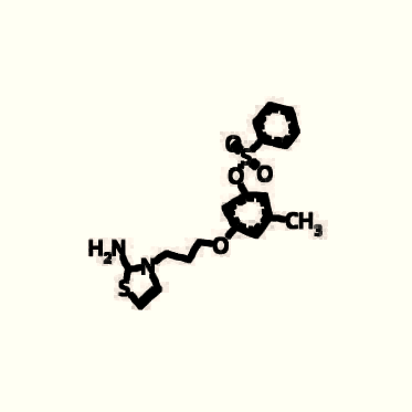 Cc1cc(OCCCN2C=CSC2N)cc(OS(=O)(=O)c2ccccc2)c1